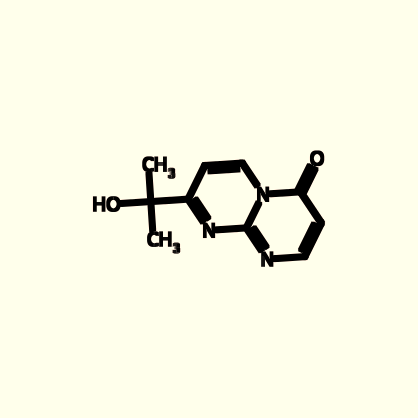 CC(C)(O)c1ccn2c(=O)ccnc2n1